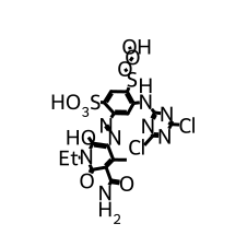 CCn1c(O)c(/N=N/c2cc(Nc3nc(Cl)nc(Cl)n3)c(SOOO)cc2S(=O)(=O)O)c(C)c(C(N)=O)c1=O